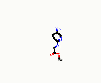 CCCCOC(=O)CNc1ccc(N)cn1